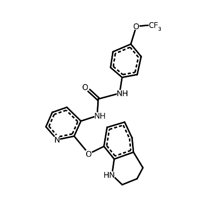 O=C(Nc1ccc(OC(F)(F)F)cc1)Nc1cccnc1Oc1cccc2c1NCCC2